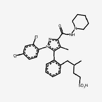 Cc1c(C(=O)NN2CCCCC2)nn(-c2ccc(Cl)cc2Cl)c1-c1ccccc1CC(C)CCS(=O)(=O)O